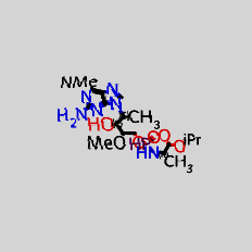 CNc1nc(N)nc2c1ncn2[C@@H](C)[C@H](O)C(CO[PH](=O)N[C@H](C)C(=O)OC(C)C)OC